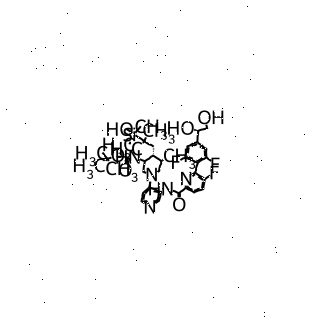 C[C@H]1CN(c2ccncc2NC(=O)c2ccc(F)c(-c3c(F)cc([C@@H](O)CO)cc3F)n2)CC(NC(=O)OC(C)(C)C)[C@@H]1CC(C)(C)[Si](C)(C)O